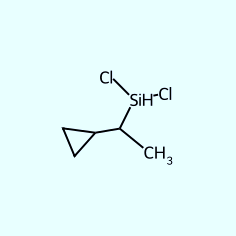 CC(C1CC1)[SiH](Cl)Cl